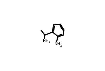 CC(N)c1ccccc1N